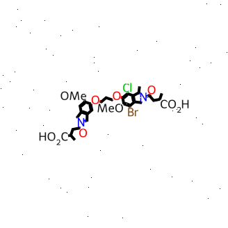 COc1cc2c(cc1OCCCOc1c(Cl)c3c(c(Br)c1OC)CN(C(=O)CC(C)C(=O)O)C3C)CN(C(=O)CC(C)C(=O)O)C2